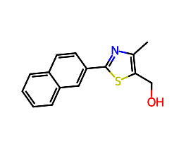 Cc1nc(-c2ccc3ccccc3c2)sc1CO